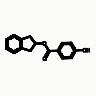 O=C(OC1Cc2ccccc2C1)c1ccc(O)cc1